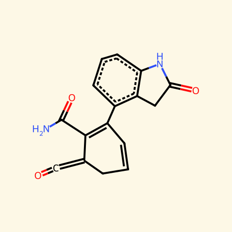 NC(=O)C1=C(c2cccc3c2CC(=O)N3)C=CCC1=C=O